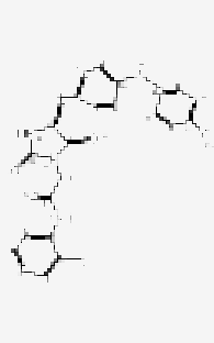 Cc1ccccc1NC(=O)CN1C(=O)NC(=Cc2ccc(Sc3ccc(Cl)cc3)cc2)C1=O